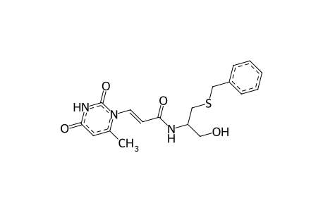 Cc1cc(=O)[nH]c(=O)n1C=CC(=O)NC(CO)CSCc1ccccc1